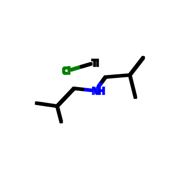 CC(C)CNCC(C)C.[Cl][Ti]